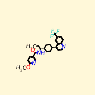 CCC(NC(=O)c1ccc(OC)nc1)[C@H]1CC[C@H](c2ccnc3ccc(C(F)(F)F)cc32)CC1